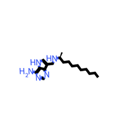 CCCCCCCCC[C@H](C)NCc1c[nH]c2c(N)ncnc12